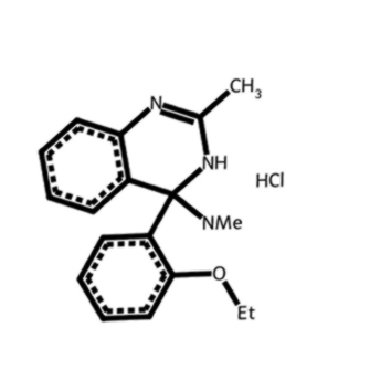 CCOc1ccccc1C1(NC)NC(C)=Nc2ccccc21.Cl